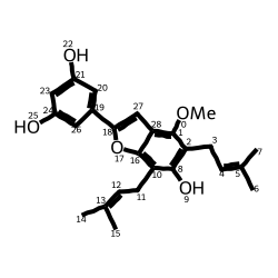 COc1c(CC=C(C)C)c(O)c(CC=C(C)C)c2oc(-c3cc(O)cc(O)c3)cc12